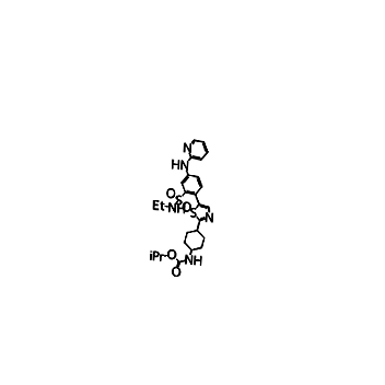 CCNS(=O)(=O)c1cc(Nc2ccccn2)ccc1-c1cnc(C2CCC(NC(=O)OC(C)C)CC2)s1